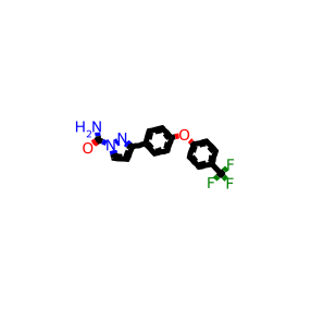 NC(=O)n1ccc(-c2ccc(Oc3ccc(C(F)(F)F)cc3)cc2)n1